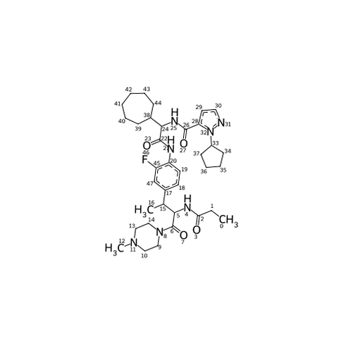 CCC(=O)NC(C(=O)N1CCN(C)CC1)C(C)c1ccc(NC(=O)C(NC(=O)c2ccnn2C2CCCC2)C2CCCCCC2)c(F)c1